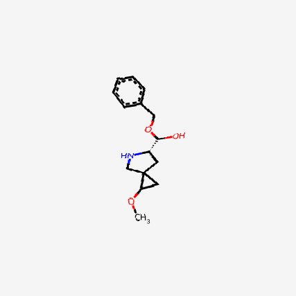 COC1CC12CN[C@H](C(O)OCc1ccccc1)C2